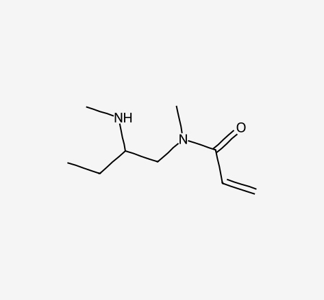 C=CC(=O)N(C)CC(CC)NC